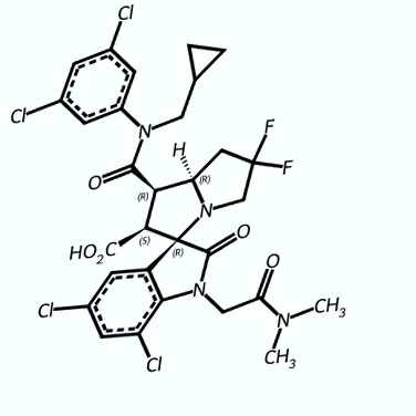 CN(C)C(=O)CN1C(=O)[C@]2(c3cc(Cl)cc(Cl)c31)[C@@H](C(=O)O)[C@@H](C(=O)N(CC1CC1)c1cc(Cl)cc(Cl)c1)[C@H]1CC(F)(F)CN12